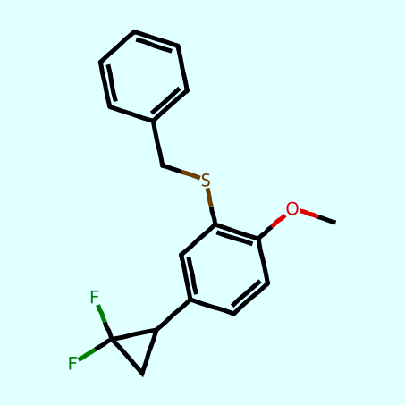 COc1ccc(C2CC2(F)F)cc1SCc1ccccc1